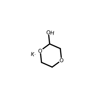 OC1COCCO1.[K]